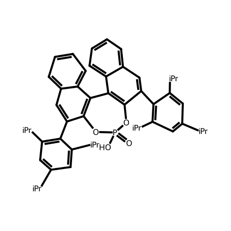 CC(C)c1cc(C(C)C)c(-c2cc3ccccc3c3c2OP(=O)(O)Oc2c(-c4c(C(C)C)cc(C(C)C)cc4C(C)C)cc4ccccc4c2-3)c(C(C)C)c1